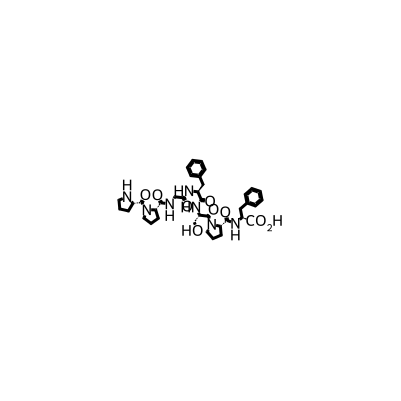 O=C(CNC(=O)[C@@H]1CCCN1C(=O)[C@@H]1CCCN1)N[C@@H](Cc1ccccc1)C(=O)N[C@@H](CO)C(=O)N1CCC[C@H]1C(=O)N[C@H](Cc1ccccc1)C(=O)O